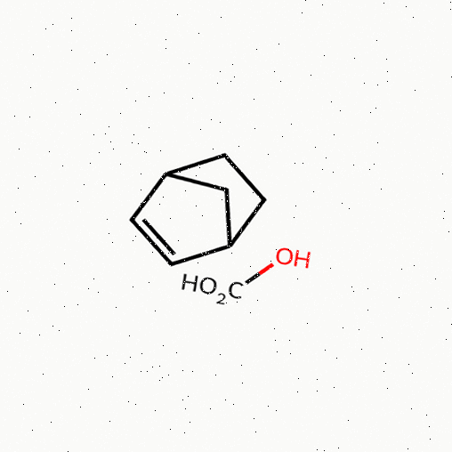 C1=CC2CCC1C2.O=C(O)O